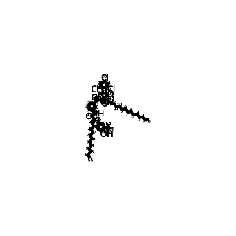 CCCCCCCCCCCCCCS(=O)(=O)C1C(=O)N(c2c(Cl)cc(Cl)cc2Cl)N=C1NC(=O)c1cccc(NC(=O)C(CCCCCCCCCCCC)Oc2ccc(O)c(C(C)(C)C)c2)c1